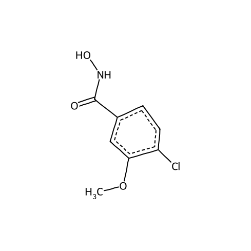 COc1cc(C(=O)NO)ccc1Cl